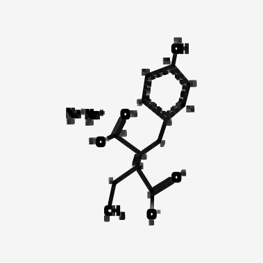 CCC(C(=O)[O-])=C(Cc1ccc(O)cc1)C(=O)[O-].[Na+].[Na+]